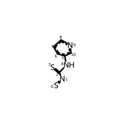 S=NC(=S)Nc1cccnc1